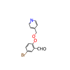 O=Cc1cc(Br)ccc1OOCc1ccncc1